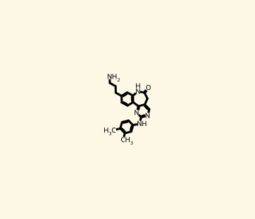 Cc1ccc(Nc2ncc3c(n2)-c2ccc(CCCN)cc2NC(=O)C3)cc1C